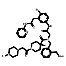 CCc1ccc(NC(=O)CN(Cc2ccccc2CNC)C(=O)C2(C)CCN(C(=O)CN3CCN(C(C)=O)CC3)CC2)cc1CC(=O)Nc1ccccn1